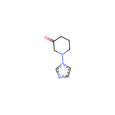 O=C1CCCN(n2ccnc2)C1